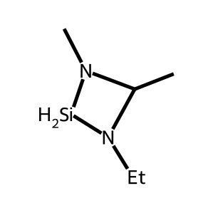 CCN1[SiH2]N(C)C1C